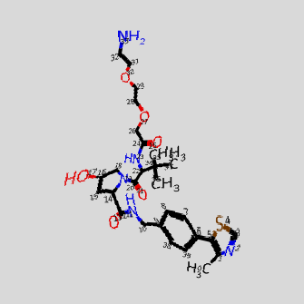 Cc1ncsc1-c1ccc(CNC(=O)C2C[C@@H](O)CN2C(=O)C(NC(=O)COCCOCCN)C(C)(C)C)cc1